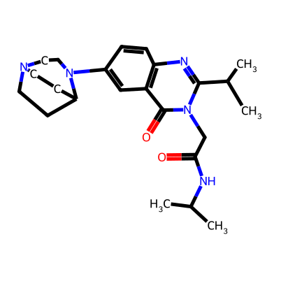 CC(C)NC(=O)Cn1c(C(C)C)nc2ccc(N3CCN4CCC3CC4)cc2c1=O